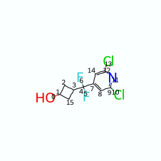 OC1CC(C(F)(F)c2cc(Cl)nc(Cl)c2)C1